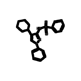 O=S(=O)(Nc1nn(-c2ccccc2)cc1C1CCCCC1)c1ccccc1